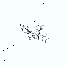 C/C(=C\CCC(C)[Si](Oc1ccccc1)(Oc1ccccc1)Oc1ccccc1)C(=O)O